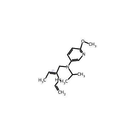 C=CN/C(=C\C)CN(c1ccc(OC)nc1)C(C)C